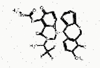 CNC(=O)Oc1c2n(ccc1=O)N([C@H]1C3=C(CSc4ccccc41)C(Cl)C(C)C=C3)CN([C@H](C)C(F)(F)F)C2=O